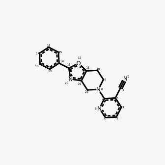 N#Cc1cccnc1N1CCc2oc(-c3ccccc3)nc2C1